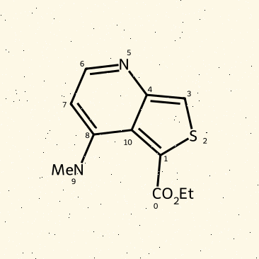 CCOC(=O)c1scc2nccc(NC)c12